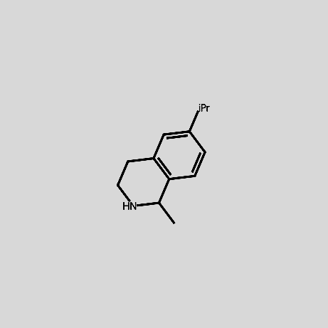 CC(C)c1ccc2c(c1)CCNC2C